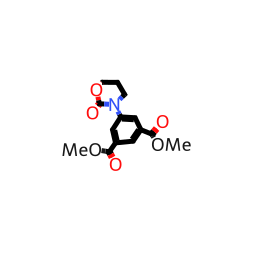 COC(=O)c1cc(C(=O)OC)cc(N2CCCOC2=O)c1